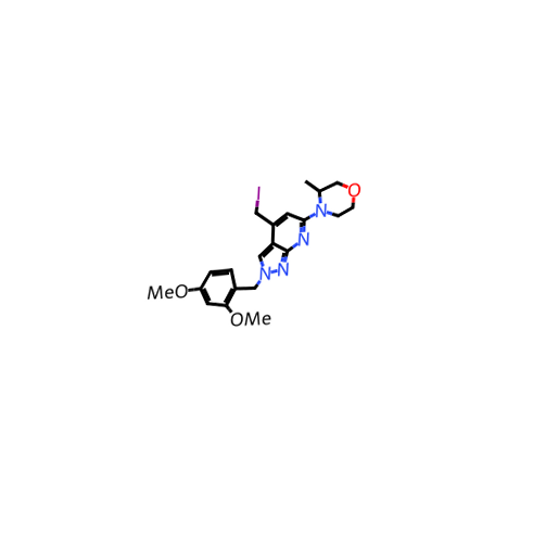 COc1ccc(Cn2cc3c(CI)cc(N4CCOCC4C)nc3n2)c(OC)c1